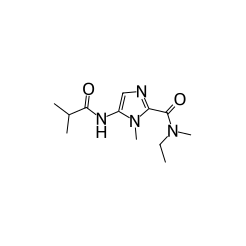 CCN(C)C(=O)c1ncc(NC(=O)C(C)C)n1C